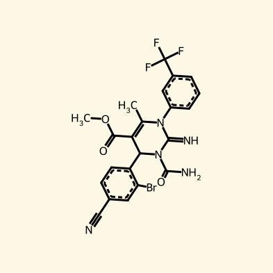 COC(=O)C1=C(C)N(c2cccc(C(F)(F)F)c2)C(=N)N(C(N)=O)C1c1ccc(C#N)cc1Br